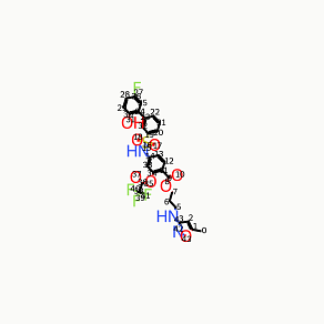 Cc1cc(NCCCOC(=O)c2ccc(NS(=O)(=O)c3cccc(-c4cc(F)ccc4O)c3)cc2OC(=O)C(F)(F)F)no1